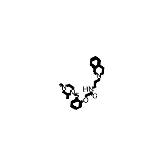 CC1CN(C)CCN1Sc1ccccc1OCC(=O)NCCCN1CCc2ccccc2C1